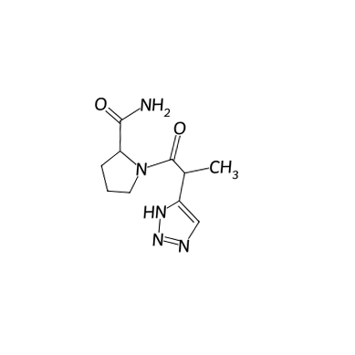 CC(C(=O)N1CCCC1C(N)=O)c1cnn[nH]1